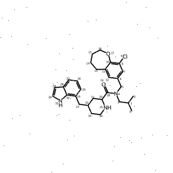 CC(C)CN(Cc1cc(Cl)c2c(c1)CCCCO2)C(=O)C1CC(Cc2cccc3cc[nH]c23)CCN1